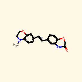 CN1CCOc2cc(/C=C/c3ccc4c(c3)NC(=O)CO4)ccc21